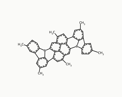 Cc1ccc2c(c1)-c1cc(C)cc3c1B2c1cc2c(C)cc4c5c(cc6c(C)cc-3c1c6c25)B1c2ccc(C)cc2-c2cc(C)cc-4c21